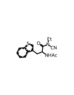 CCN(C#N)C(=O)C(Cc1csc2ccccc12)NC(C)=O